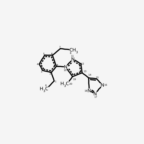 CCc1cccc(CC)c1-n1ncc(C2=C[N]N=N2)c1C